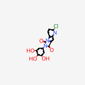 O=C1c2cc3nc(Cl)ccc3n2C(=O)N1c1cc(O)c(O)c(O)c1